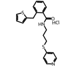 Cl.O=C(NCCCSc1ccncc1)c1ccccc1Cc1cccs1